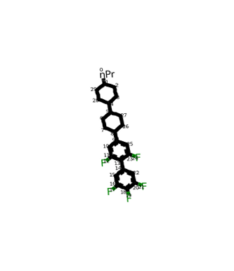 CCCC1CCC(C2CCC(c3cc(F)c(-c4cc(F)c(F)c(F)c4)c(F)c3)CC2)CC1